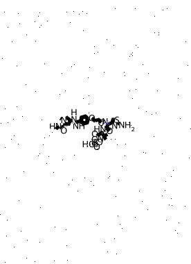 CNC(=O)[C@@H]1C[C@H](NC(=N)c2ccc(OCCO/N=C(\C(=O)N[C@@H]3C(=O)N(OS(=O)(=O)O)C3(C)C)c3csc(N)n3)cc2)CN1C